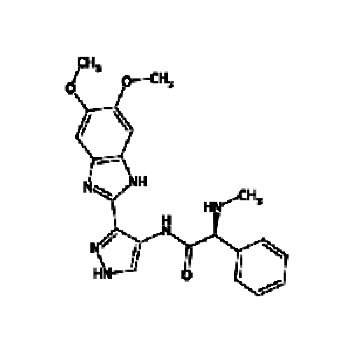 CN[C@H](C(=O)Nc1c[nH]nc1-c1nc2cc(OC)c(OC)cc2[nH]1)c1ccccc1